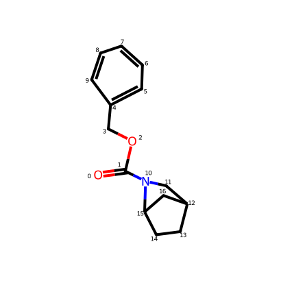 O=C(OCc1ccccc1)N1CC2CCC1C2